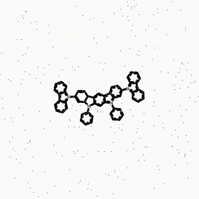 C1=CC2c3cc4c5ccc(-n6c7ccccc7c7ccccc76)cc5n(-c5ccccc5)c4cc3N(c3ccccc3)C2C=C1n1c2ccccc2c2ccccc21